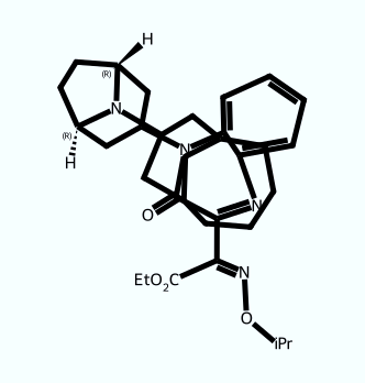 CCOC(=O)C(=NOC(C)C)c1nc2ccccc2n(C2C[C@H]3CC[C@H](C2)N3C2CC3CCCCC(C3)C2)c1=O